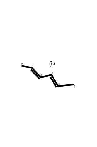 CC=CC=CC.[Ru]